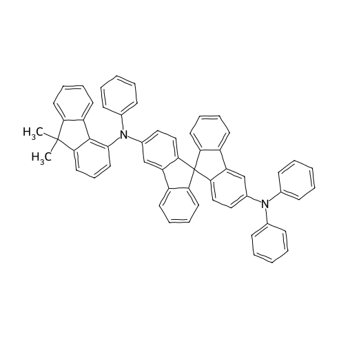 CC1(C)c2ccccc2-c2c(N(c3ccccc3)c3ccc4c(c3)-c3ccccc3C43c4ccccc4-c4cc(N(c5ccccc5)c5ccccc5)ccc43)cccc21